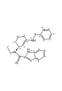 CCN(C(=O)c1cc2ccccc2[nH]1)[C@@H]1C=C(NCc2ccccn2)CCC1